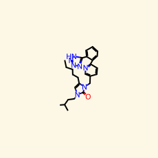 CCCCCc1cn(CCC(C)C)c(=O)n1Cc1ccc(-c2ccccc2-c2nnn[nH]2)nc1